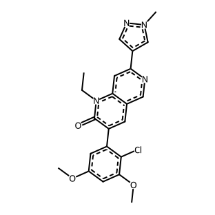 CCn1c(=O)c(-c2cc(OC)cc(OC)c2Cl)cc2cnc(-c3cnn(C)c3)cc21